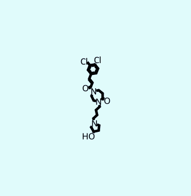 O=C(/C=C/c1ccc(Cl)c(Cl)c1)N1CCC(=O)N(CCCCN2CCC(O)C2)CC1